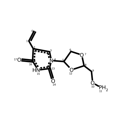 C=Cc1cn(C2COC(COP)O2)c(=O)[nH]c1=O